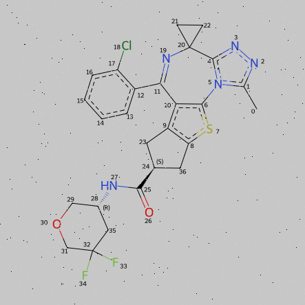 Cc1nnc2n1-c1sc3c(c1C(c1ccccc1Cl)=NC21CC1)C[C@H](C(=O)N[C@H]1COCC(F)(F)C1)C3